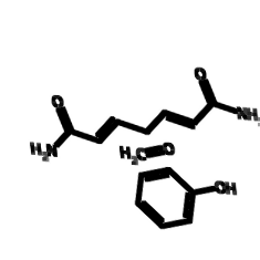 C=O.NC(=O)C=CCC=CC(N)=O.Oc1ccccc1